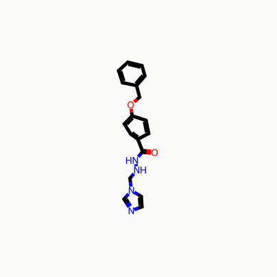 O=C(NNCn1ccnc1)c1ccc(OCc2ccccc2)cc1